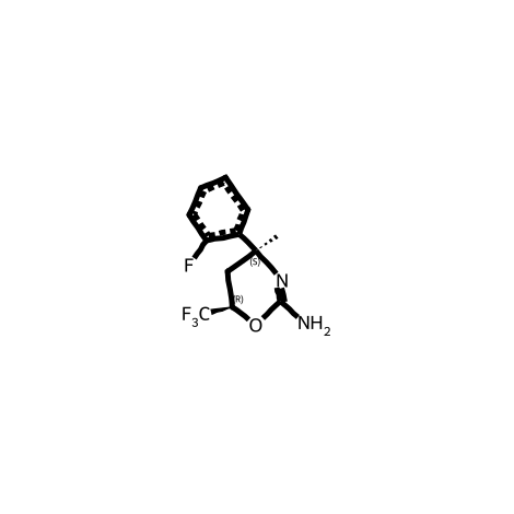 C[C@@]1(c2ccccc2F)C[C@H](C(F)(F)F)OC(N)=N1